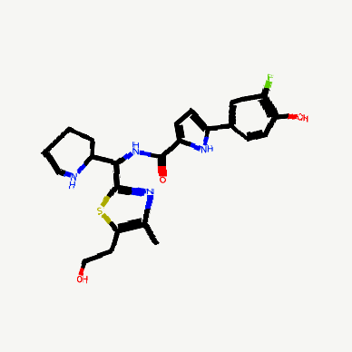 Cc1nc(C(NC(=O)c2ccc(-c3ccc(O)c(F)c3)[nH]2)C2CCCCN2)sc1CCO